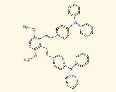 COc1ccc(OC)c(C=Cc2ccc(N(c3ccccc3)c3ccccc3)cc2)c1C=Cc1ccc(N(c2ccccc2)c2ccccc2)cc1